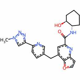 Cn1cc(-c2ccc(Cc3cc(C(=O)N[C@H]4CCCC[C@@H]4O)nc4ccoc34)cn2)nn1